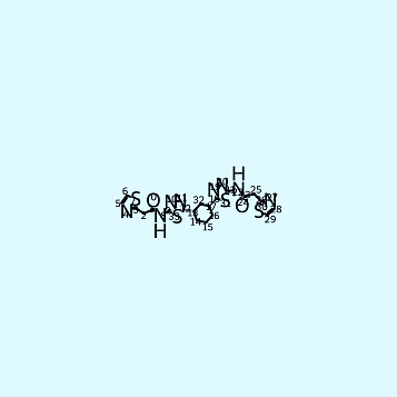 O=C(Cc1nccs1)Nc1nnc([C@H]2CCC[C@H](c3nnc(NC(=O)Cc4nccs4)s3)C2)s1